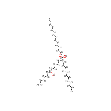 CCCCCCCCCCCCCCOC(=O)C(CCCCCCCCCCCC)CCCCCC(=O)CCCCCCC